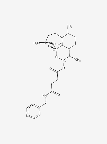 CC1CCC2C(C)[C@H](OC(=O)CCC(=O)NCc3ccncc3)O[C@@H]3O[C@@]4(C)CCC1[C@@]23OO4